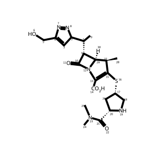 CC(C1C=C(CO)N=N1)[C@H]1C(=O)N2C(C(=O)O)=C(S[C@@H]3CN[C@H](C(=O)N(C)C)C3)[C@H](C)[C@H]12